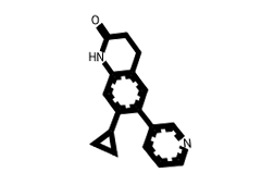 O=C1CCc2cc(-c3cccnc3)c(C3CC3)cc2N1